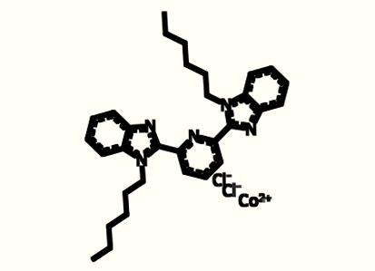 CCCCCCn1c(-c2cccc(-c3nc4ccccc4n3CCCCCC)n2)nc2ccccc21.[Cl-].[Cl-].[Co+2]